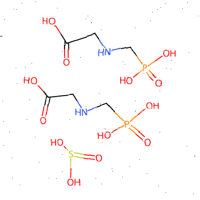 O=C(O)CNCP(=O)(O)O.O=C(O)CNCP(=O)(O)O.O=S(O)O